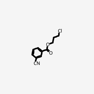 N#Cc1cccc(C(=O)OCCCCl)c1